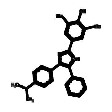 CN(C)c1ccc(-c2nc(-c3cc(C(C)(C)C)c(O)c(C(C)(C)C)c3)[nH]c2-c2ccccc2)cc1